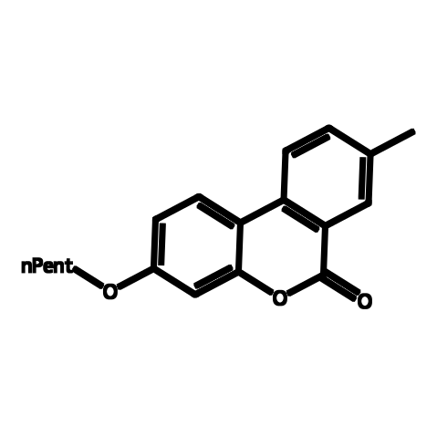 CCCCCOc1ccc2c(c1)oc(=O)c1cc(C)ccc12